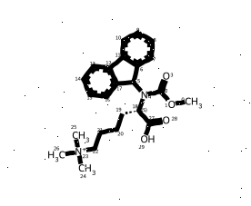 COC(=O)N(C1c2ccccc2-c2ccccc21)[C@@H](CCCC[N+](C)(C)C)C(=O)O